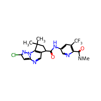 CNC(=O)c1ncc(NC(=O)C2CC(C)(C)c3c2cnc2cc(Cl)nn32)cc1C(F)(F)F